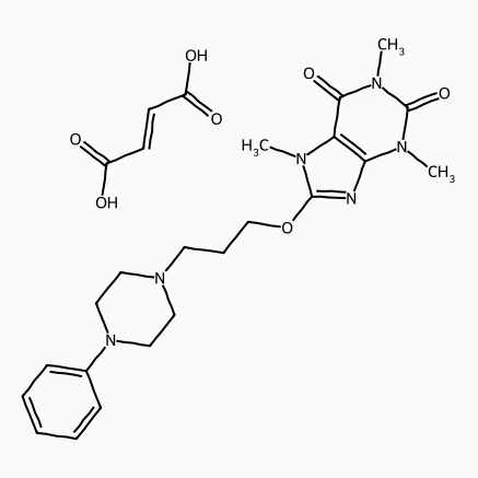 Cn1c(=O)c2c(nc(OCCCN3CCN(c4ccccc4)CC3)n2C)n(C)c1=O.O=C(O)C=CC(=O)O